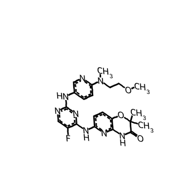 COCCN(C)c1ccc(Nc2ncc(F)c(Nc3ccc4c(n3)NC(=O)C(C)(C)O4)n2)cn1